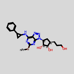 CCCSc1nc(NC2CC2c2ccccc2)c2nnn([C@H]3C[C@@H](CCCO)[C@H](O)[C@@H]3O)c2n1